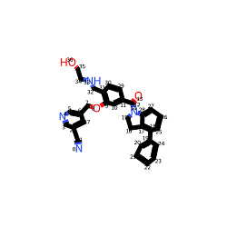 N#Cc1cncc(COc2cc(C(=O)N3CCc4c(-c5ccccc5)cccc43)ccc2CNCCO)c1